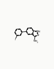 Nc1n[nH]c2ccc(-c3cccc(I)c3)cc12